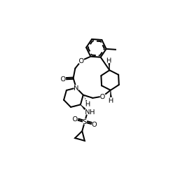 Cc1cccc2c1[C@H]1CC[C@H](CC1)OC[C@H]1[C@@H](NS(=O)(=O)C3CC3)CCCN1C(=O)CO2